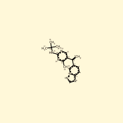 C=C(c1ccc2ncnn2c1)c1cnc(NC(C)(C)C)nc1C